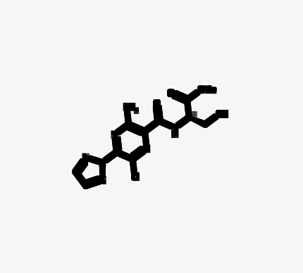 COC(=O)[C@@H](CO)NC(=O)c1nc(Cl)c(-n2nccn2)nc1N